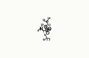 CC(C)COP(=O)(CN(C)C)OCC(C)C